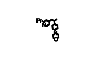 CC(C)c1cc(CC(C)c2ccc(N3CCOCC3)cc2)ccn1